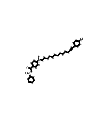 O=C(C[S+]([O-])c1ccccc1)c1ccc(NCCCCCCCCCCCC#Cc2ccc(Cl)cc2)cc1